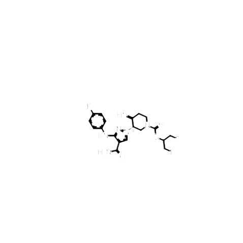 N=C1CCN(C(=O)OC(CF)CF)C[C@H]1n1cc(C(N)=O)c(Nc2ccc(F)cc2)n1